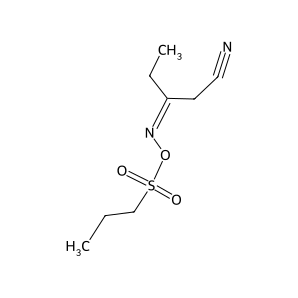 CCCS(=O)(=O)ON=C(CC)CC#N